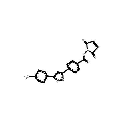 Cc1ccc(-c2cc(-c3ccc(C(=O)ON4C(=O)C=CC4=O)cc3)no2)cc1